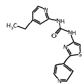 CCc1ccnc(NC(=O)Nc2csc(-c3ccncc3)n2)c1